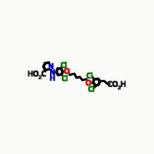 O=C(O)CCc1cc(Cl)c(OCCC=CCCOc2c(Cl)cc(Nc3ncccc3C(=O)O)cc2Cl)c(Cl)c1